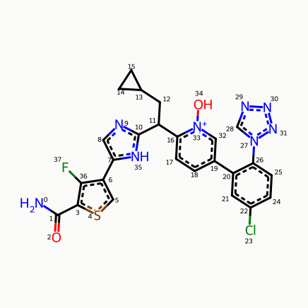 NC(=O)c1scc(-c2cnc(C(CC3CC3)c3ccc(-c4cc(Cl)ccc4-n4cnnn4)c[n+]3O)[nH]2)c1F